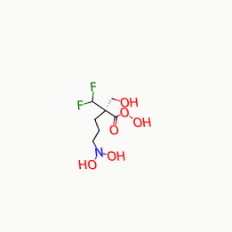 O=C(OO)[C@@](CO)(CCCN(O)O)C(F)F